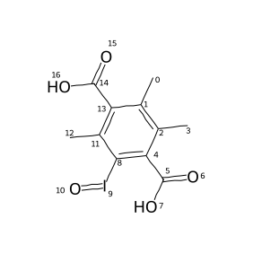 Cc1c(C)c(C(=O)O)c(I=O)c(C)c1C(=O)O